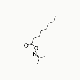 CCCCCCCC(=O)ON=C(C)C